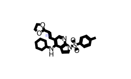 Cc1ccc(S(=O)(=O)n2ccc3c(NC4CCCCC4)c(/C=C/C4OCCO4)cnc32)cc1